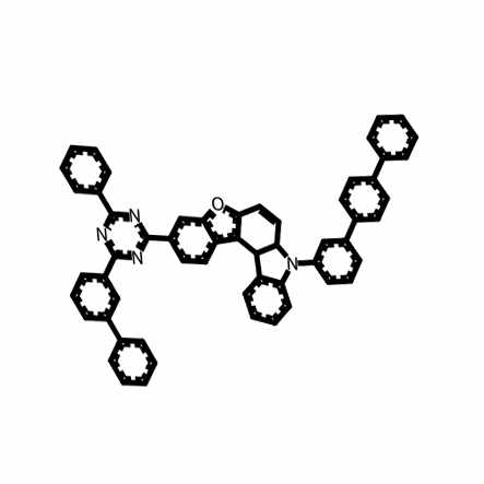 C1=CC2C(c3ccccc3N2c2cccc(-c3ccc(-c4ccccc4)cc3)c2)c2c1oc1cc(-c3nc(-c4ccccc4)nc(-c4cccc(-c5ccccc5)c4)n3)ccc21